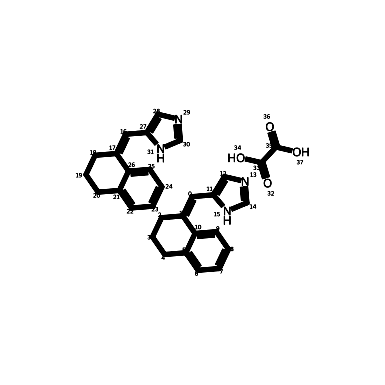 C(=C1\CCCc2ccccc21)/c1cnc[nH]1.C(=C1\CCCc2ccccc21)/c1cnc[nH]1.O=C(O)C(=O)O